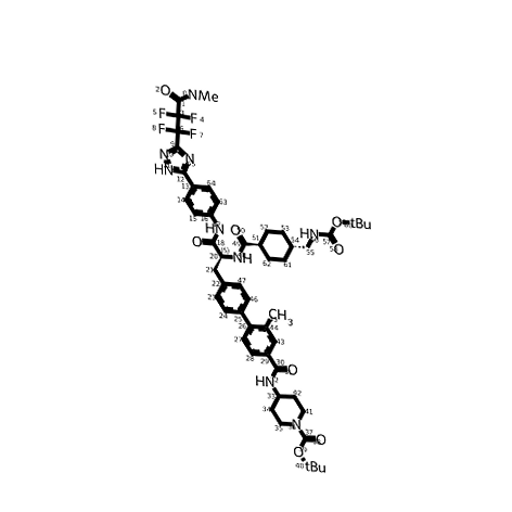 CNC(=O)C(F)(F)C(F)(F)c1n[nH]c(-c2ccc(NC(=O)[C@H](Cc3ccc(-c4ccc(C(=O)NC5CCN(C(=O)OC(C)(C)C)CC5)cc4C)cc3)NC(=O)[C@H]3CC[C@H](CNC(=O)OC(C)(C)C)CC3)cc2)n1